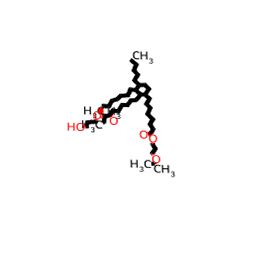 CCCCCCCCC1C(CCCCCC)CCC(CCCCCCCC(=O)OCCCOC(C)C)C1CCCCCCC(=O)C(C)(CC)OCCCO